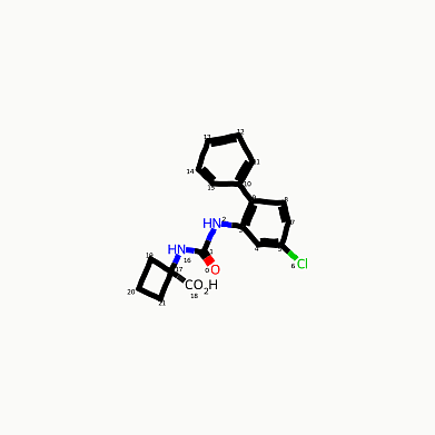 O=C(Nc1cc(Cl)ccc1-c1ccccc1)NC1(C(=O)O)CCC1